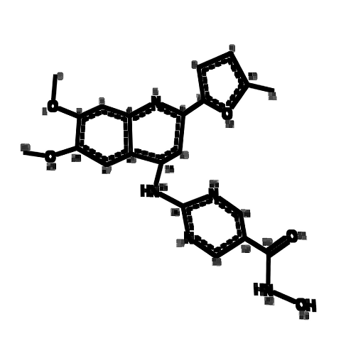 COc1cc2nc(-c3ccc(C)o3)cc(Nc3ncc(C(=O)NO)cn3)c2cc1OC